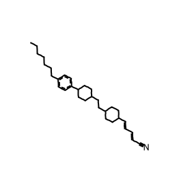 CCCCCCCc1ccc(C2CCC(CCC3CCC(C=CC=CC#N)CC3)CC2)cc1